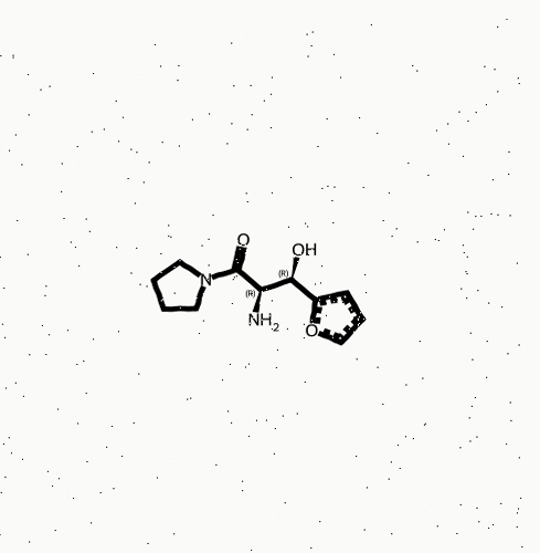 N[C@@H](C(=O)N1CCCC1)[C@@H](O)c1ccco1